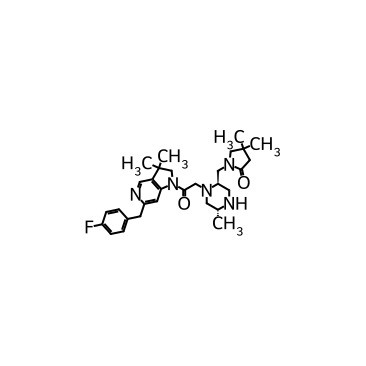 C[C@@H]1CN(CC(=O)N2CC(C)(C)c3cnc(Cc4ccc(F)cc4)cc32)[C@@H](CN2CC(C)(C)CC2=O)CN1